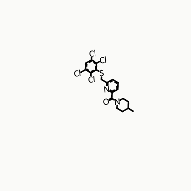 CC1CCN(C(=O)c2cccc(CSc3c(Cl)c(Cl)cc(Cl)c3Cl)n2)CC1